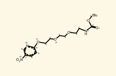 CC(C)(C)OC(=O)NCCOCCOCCOc1ccc([N+](=O)[O-])cn1